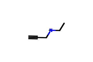 C#CC[N]CC